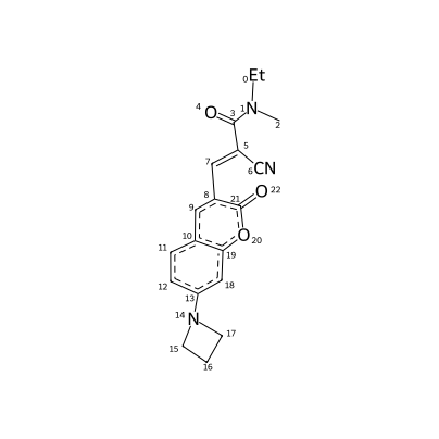 CCN(C)C(=O)/C(C#N)=C/c1cc2ccc(N3CCC3)cc2oc1=O